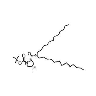 CCCCCCCCCCCCCN(CCCCCCCCCCCC)C(=O)[C@@H]1C[C@H](C)CN1C(=O)OC(C)(C)C